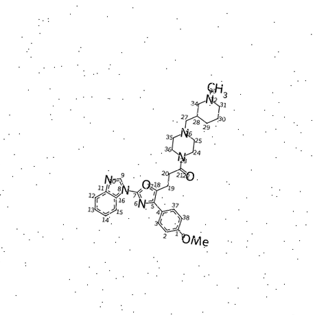 COc1ccc(-c2nc(-n3cnc4ccccc43)oc2CCC(=O)N2CCN(CC3CCCN(C)C3)CC2)cc1